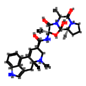 CC(C)C1C(=O)N2CCC[C@H]2[C@]2(O)O[C@@](C)(NC(=O)[C@@H]3C=C4c5cccc6[nH]cc(c56)C[C@H]4N(C)C3)C(=O)N12